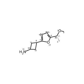 CO[C@H](C)c1nnc(C2CC(N)C2)o1